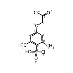 Cc1cc(OCC(=O)Cl)cc(C)c1S(=O)(=O)Cl